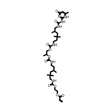 C=CC(=O)OCCOC(=O)NCC(C)(C)CC(C)CCNC(=O)OC(C)COC(=O)NCCC(C)(C)CC(C)CNC(=O)Nc1nc(=O)cc(C)[nH]1